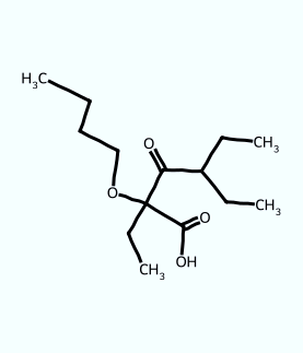 CCCCOC(CC)(C(=O)O)C(=O)C(CC)CC